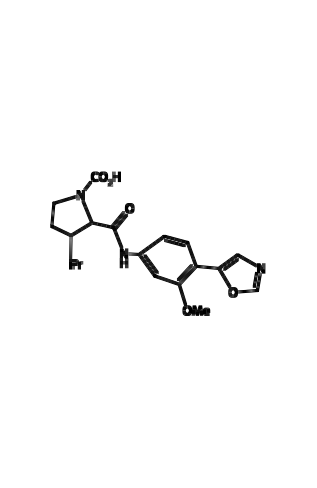 COc1cc(NC(=O)C2C(C(C)C)CCN2C(=O)O)ccc1-c1cnco1